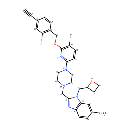 C#Cc1ccc(COc2nc(N3CCN(Cc4nc5ccc(C(=O)O)cc5n4CC4CCO4)CC3)ccc2F)c(F)c1